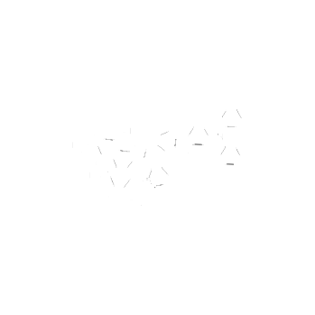 Bc1c(B)c(B)c2c(c1B)c1oc(-c3ccc4c(c3)oc3cc(N(c5ccccc5)c5ccccc5)ccc34)c(-c3ccccc3)c1c1c(B)c(B)c(B)c(B)c21